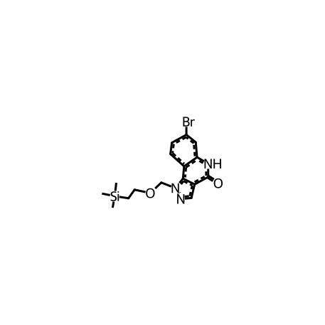 C[Si](C)(C)CCOCn1ncc2c(=O)[nH]c3cc(Br)ccc3c21